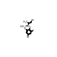 CC(C)CC(C)N(Oc1c(F)cc(Br)cc1F)C(=O)O